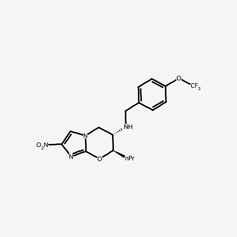 CCC[C@H]1Oc2nc([N+](=O)[O-])cn2C[C@@H]1NCc1ccc(OC(F)(F)F)cc1